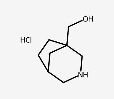 Cl.OCC12CCC(CNC1)C2